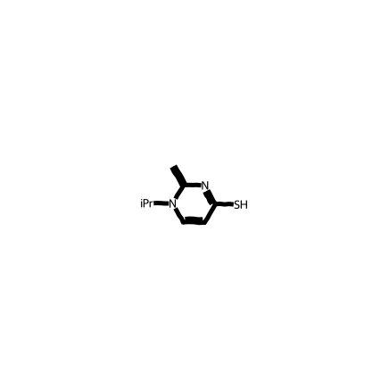 C=C1N=C(S)C=CN1C(C)C